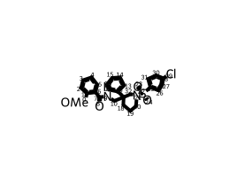 COc1ccccc1C(=O)NCC1(c2ccccc2)CCCN(S(=O)(=O)c2ccc(Cl)cc2)C1